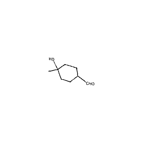 CC1(O)CCC(C=O)CC1